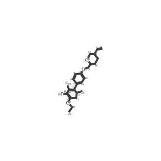 C=CC1CCC(COc2ccc(C3=C(F)C(F)=C(OCC)CC3C)cc2)OC1